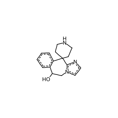 OC1Cn2ccnc2C2(CCNCC2)c2ccccc21